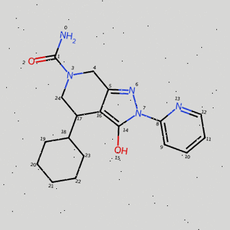 NC(=O)N1Cc2nn(-c3ccccn3)c(O)c2C(C2CCCCC2)C1